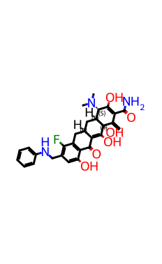 C=C1C(C(N)=O)=C(O)[C@@H](N(C)C)[C@@H]2C[C@@H]3Cc4c(F)c(CNc5ccccc5)cc(O)c4C(=O)C3=C(O)[C@]12O